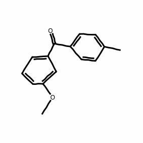 COc1cccc(C(=O)c2ccc(C)cc2)c1